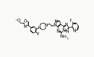 COCc1nc(-c2ccc(F)c(N3CCN(CCn4ncc5c4nc(N)n4nc(-c6ncccc6F)nc54)CC3)c2)co1